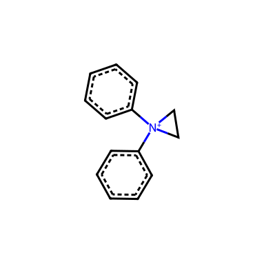 c1ccc([N+]2(c3ccccc3)CC2)cc1